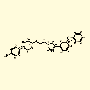 Fc1ccc(N2CCN(CCCC3CC(c4cccc(Oc5ccccc5)c4)=NO3)CC2)cc1